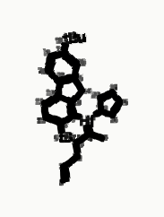 C=CCC[C](C)=[Hf]([c]1c(C(C)(C)C)ccc2c1Cc1cc(C(C)(C)C)ccc1-2)[CH]1C=CC=C1